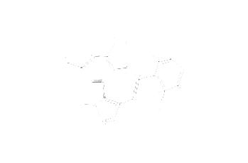 CPn1ncc2c1-c1cc(Cl)nc(C)c1NC(c1c(F)cccc1F)=N2